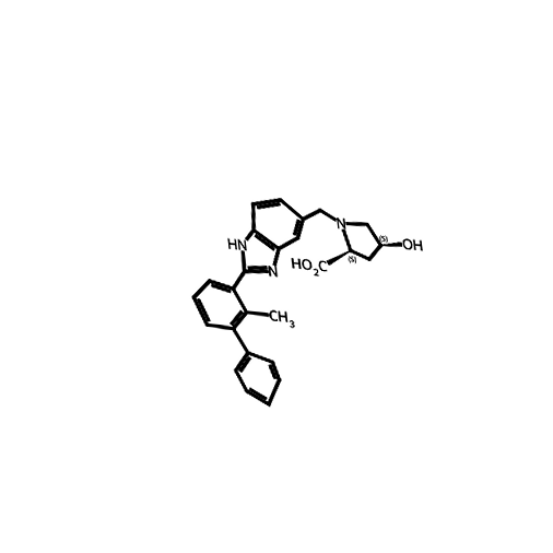 Cc1c(-c2ccccc2)cccc1-c1nc2cc(CN3C[C@@H](O)C[C@H]3C(=O)O)ccc2[nH]1